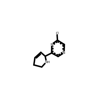 Clc1cncc(C2C=CCCN2)n1